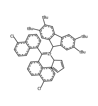 CC(C)(C)c1cc2c(cc1C(C)(C)C)[CH]([Zr](=[C](c1cccc3c(Cl)cccc13)c1cccc3c(Cl)cccc13)[CH]1C=CC=C1)c1cc(C(C)(C)C)c(C(C)(C)C)cc1-2